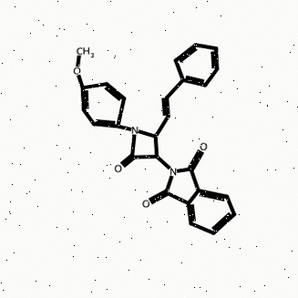 COc1ccc(N2C(=O)C(N3C(=O)c4ccccc4C3=O)C2C=Cc2ccccc2)cc1